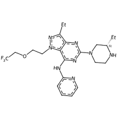 CCc1nn(CCOCC(F)(F)F)c2c(Nc3ccccn3)nc(N3CCN[C@@H](CC)C3)nc12